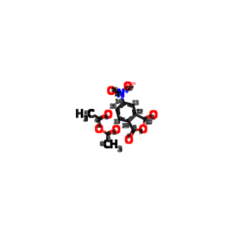 CC(=O)OC(C)=O.O=C1OC(=O)c2cc([N+](=O)[O-])ccc21